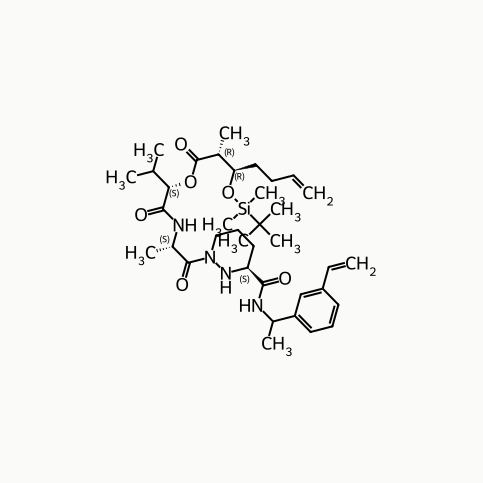 C=CCC[C@@H](O[Si](C)(C)C(C)(C)C)[C@@H](C)C(=O)O[C@H](C(=O)N[C@@H](C)C(=O)N1CCC[C@@H](C(=O)NC(C)c2cccc(C=C)c2)N1)C(C)C